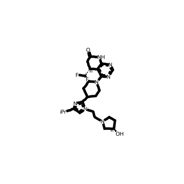 CC(C)c1cn(CCN2CC[C@@H](O)C2)c(C2CCN(c3ncnc4c3[C@H](C(F)F)CC(=O)N4)CC2)n1